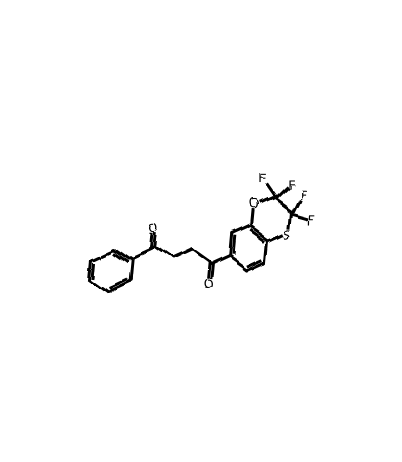 O=C(CCC(=O)c1ccc2c(c1)OC(F)(F)C(F)(F)S2)c1ccccc1